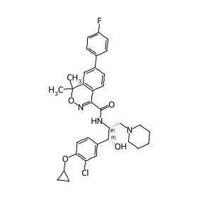 CC1(C)ON=C(C(=O)N[C@H](CN2CCCCC2)[C@H](O)c2ccc(OC3CC3)c(Cl)c2)c2ccc(-c3ccc(F)cc3)cc21